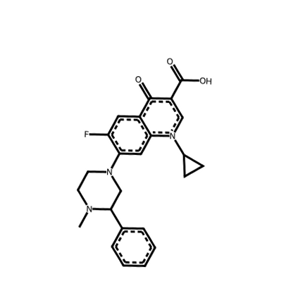 CN1CCN(c2cc3c(cc2F)c(=O)c(C(=O)O)cn3C2CC2)CC1c1ccccc1